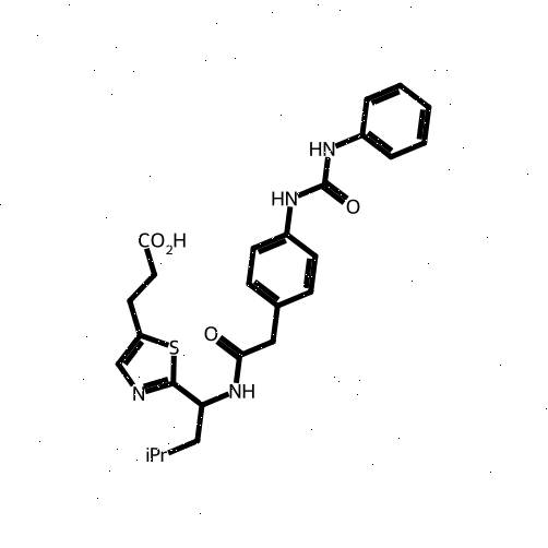 CC(C)CC(NC(=O)Cc1ccc(NC(=O)Nc2ccccc2)cc1)c1ncc(CCC(=O)O)s1